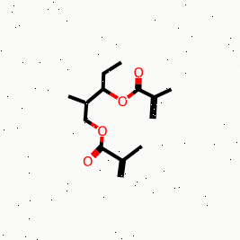 C=C(C)C(=O)OCC(C)C(CC)OC(=O)C(=C)C